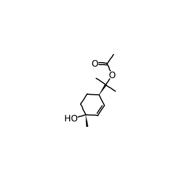 CC(=O)OC(C)(C)[C@H]1C=C[C@](C)(O)CC1